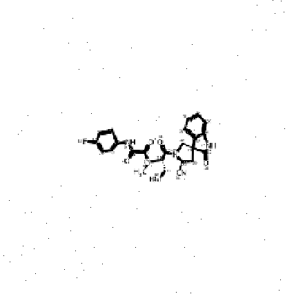 CN(C(=O)C(=O)Nc1ccc(F)cc1)[C@@H](CC(C)(C)C)C(=O)N1C[C@]2(C[C@H]1C#N)C(=O)Nc1ccccc12